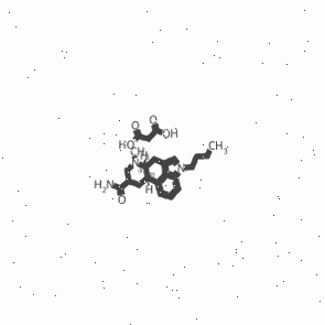 CCCCn1cc2c3c(cccc31)[C@H]1CC(C(N)=O)CN(C)[C@@H]1C2.O=C(O)CC(=O)O